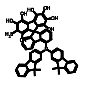 Bc1c(O)c(O)c2c(c1O)C1(c3ccccc3-c3c(N(c4ccc5c(c4)C(C)(C)c4ccccc4-5)c4ccc5c(c4)C(C)(C)c4ccccc4-5)cccc31)c1c(O)c(O)c(O)c(O)c1-2